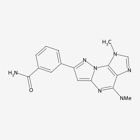 CNc1nc2cc(-c3cccc(C(N)=O)c3)nn2c2c1ncn2C